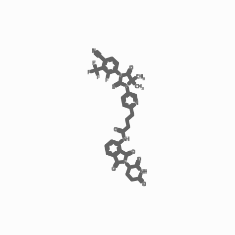 CC1(C)C(=O)N(c2ccc(C#N)c(C(F)(F)F)c2F)C(=S)N1c1ccc(CCCC(=O)Nc2cccc3c2C(=O)N(C2CCC(=O)NC2=O)C3=O)nc1